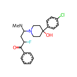 CNC(CC(F)C(=O)c1ccccc1)N1CCC(O)(c2ccc(Cl)cc2)CC1